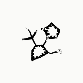 Cc1cccc(C(F)(F)F)c1-n1nccn1